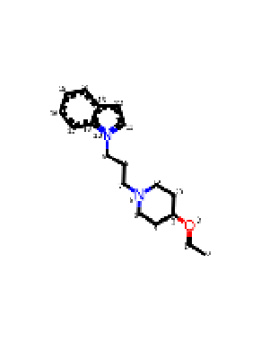 CCOC1CCN(CCCn2ccc3ccccc32)CC1